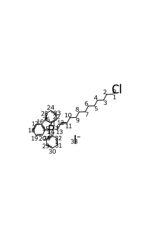 ClCCCCCCCCCCC=CC[P+](c1ccccc1)(c1ccccc1)c1ccccc1.[I-]